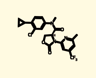 Cc1cc(C(F)(F)F)cc(N2C(=O)OC[C@H]2C(=O)N(C)c2ccc(C3CC3)c(Cl)c2)n1